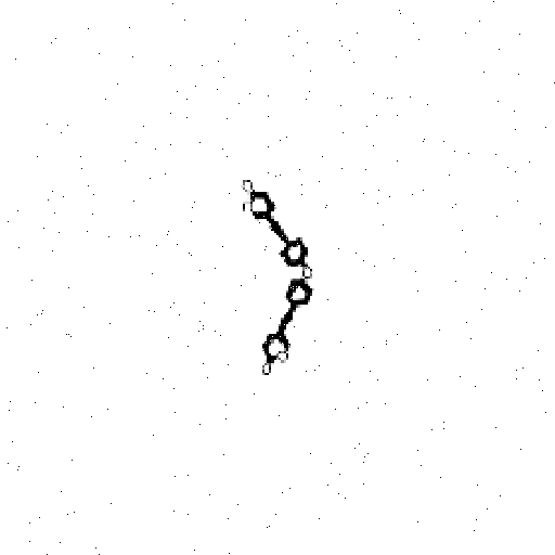 O=c1ccc(C#Cc2ccc(Oc3ccc(C#Cc4ccc(=O)oc4)cc3)cc2)co1